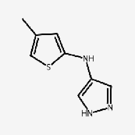 Cc1csc(Nc2cn[nH]c2)c1